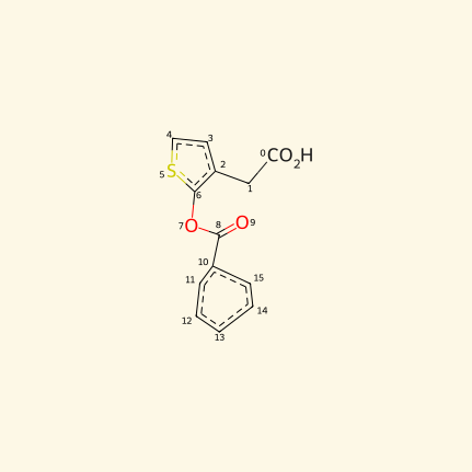 O=C(O)Cc1ccsc1OC(=O)c1ccccc1